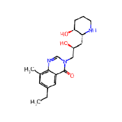 CCc1cc(C)c2ncn(C[C@@H](O)C[C@H]3NCCC[C@@H]3O)c(=O)c2c1